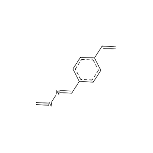 C=Cc1ccc(C=NN=C)cc1